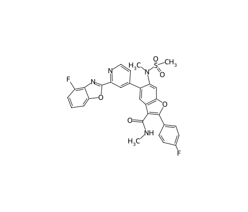 CNC(=O)c1c(-c2ccc(F)cc2)oc2cc(N(C)S(C)(=O)=O)c(-c3ccnc(-c4nc5c(F)cccc5o4)c3)cc12